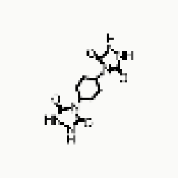 O=c1[nH][nH]c(=O)n1C1CCC(n2c(=O)[nH][nH]c2=O)CC1